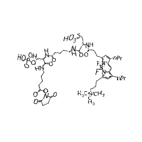 CCCC1=CC(CCC(=O)NC(CS(=O)(=O)O)C(=O)NCCCCC(=O)NC(COP(=O)(O)O)C(=O)NCCCCC(=O)ON2C(=O)CCC2=O)=[N+]2C1=Cc1c(CCC)cc(CCC[N+](C)(C)C)n1[B-]2(F)F